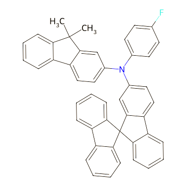 CC1(C)c2ccccc2-c2ccc(N(c3ccc(F)cc3)c3ccc4c(c3)C3(c5ccccc5-c5ccccc53)c3ccccc3-4)cc21